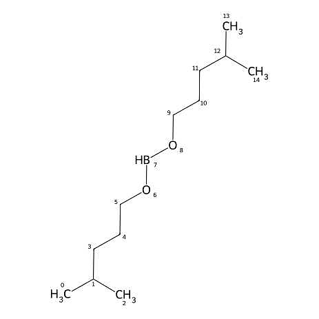 CC(C)CCCOBOCCCC(C)C